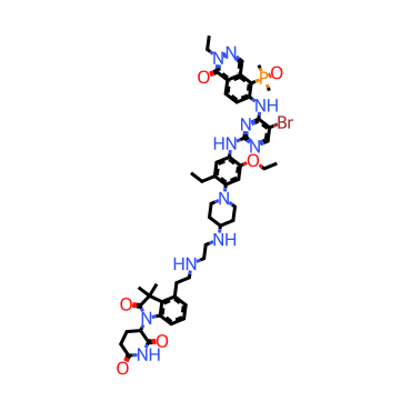 CCOc1cc(N2CCC(NCCNCCc3cccc4c3C(C)(C)C(=O)N4C3CCC(=O)NC3=O)CC2)c(CC)cc1Nc1ncc(Br)c(Nc2ccc3c(=O)n(CC)ncc3c2P(C)(C)=O)n1